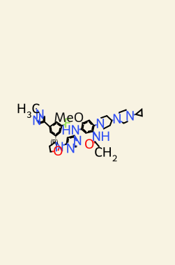 C=CC(=O)Nc1cc(Nc2cc(N3OCC[C@@H]3c3cc(F)cc(-c4cnn(C)c4)c3)ncn2)c(OC)cc1N1CCC(N2CCN(C3CC3)CC2)CC1